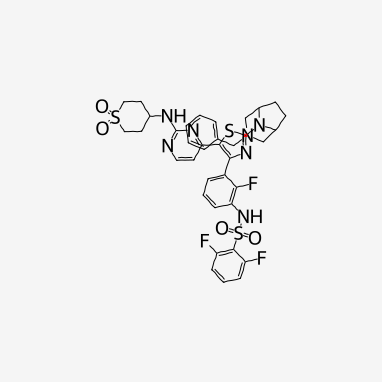 O=S1(=O)CCC(Nc2nccc(-c3sc(N4C5CCC4CN(Cc4ccccc4)C5)nc3-c3cccc(NS(=O)(=O)c4c(F)cccc4F)c3F)n2)CC1